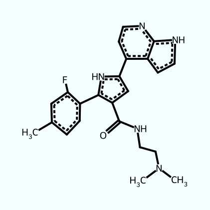 Cc1ccc(-c2[nH]c(-c3ccnc4[nH]ccc34)cc2C(=O)NCCN(C)C)c(F)c1